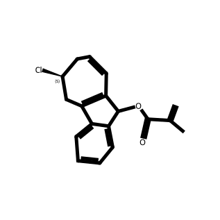 C=C(C)C(=O)OC1C2=C(C[C@@H](Cl)CC=C2)c2ccccc21